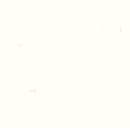 O=[N+]([O-])c1ccc(Oc2ccc(C(F)(F)F)cc2)c(C2CCCN2)c1